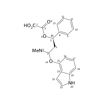 CNC(C[C@@H](OC(=O)C(=O)O)c1ccccc1)Oc1cccc2[nH]ccc12